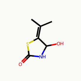 CC(C)=C1SC(=O)NC1O